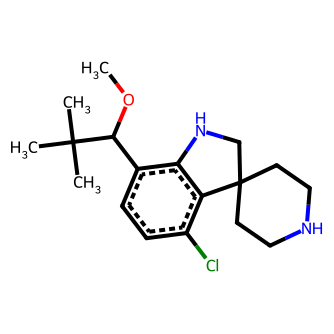 COC(c1ccc(Cl)c2c1NCC21CCNCC1)C(C)(C)C